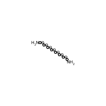 Nc1ccc(Oc2cccc(Oc3cccc(Oc4cccc(Oc5cccc(Oc6cccc(Oc7cccc(Oc8ccc(N)cc8)c7)c6)c5)c4)c3)c2)cc1